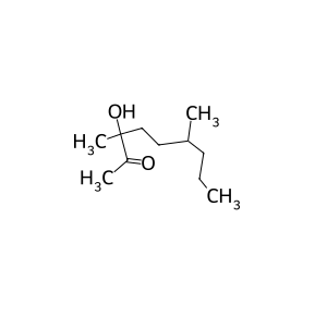 CCCC(C)CCC(C)(O)C(C)=O